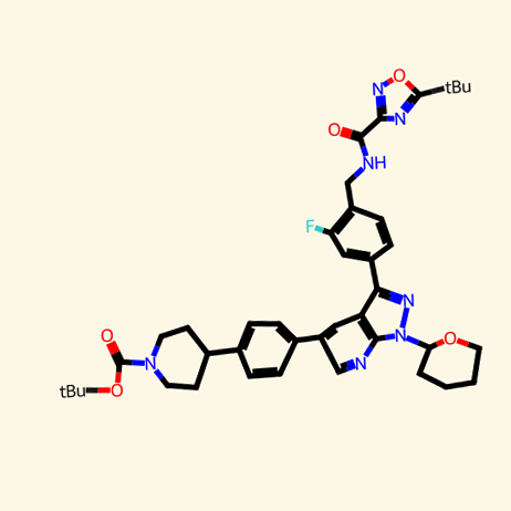 CC(C)(C)OC(=O)N1CCC(c2ccc(-c3cnc4c(c3)c(-c3ccc(CNC(=O)c5noc(C(C)(C)C)n5)c(F)c3)nn4C3CCCCO3)cc2)CC1